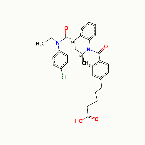 CCN(C(=O)[C@H]1C[C@H](C)N(C(=O)c2ccc(CCCCC(=O)O)cc2)c2ccccc21)c1ccc(Cl)cc1